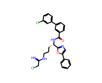 N=C(CCl)NCCC[C@H](NC(=O)c1cccc(-c2cccc(Cl)c2)c1)c1ncc(-c2ccccc2)o1